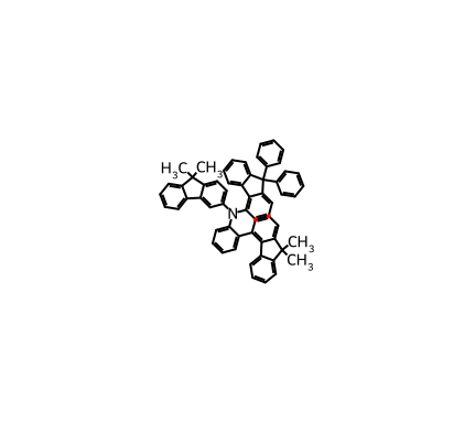 CC1(C)c2ccccc2-c2cc(N(c3ccccc3-c3cccc4c3-c3ccccc3C4(C)C)c3cccc4c3-c3ccccc3C4(c3ccccc3)c3ccccc3)ccc21